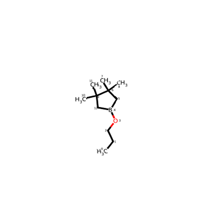 CCCOB1CC(C)(C)C(C)(C)C1